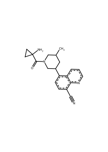 CC1CC(c2ccc(C#N)c3ncccc23)CN(C(=O)C2(N)CC2)C1